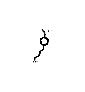 O=[N+]([O-])c1ccc(CC=CCO)cc1